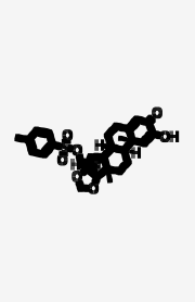 Cc1ccc(S(=O)(=O)OCC(=O)[C@@]23OCO[C@@H]2C[C@H]2[C@@H]4CCC5=CC(=O)C(O)=C[C@]5(C)[C@H]4CC[C@@]23C)cc1